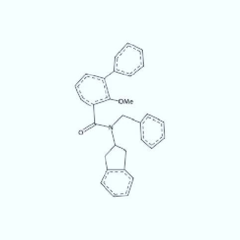 COc1c(C(=O)N(Cc2ccccc2)C2Cc3ccccc3C2)cccc1-c1ccccc1